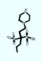 CCCC(CCN1CCNCC1)(S(=O)(=O)O)S(=O)(=O)O